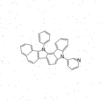 c1ccc(-n2c3c4ccccc4ccc3c3ccc4c(c5ccccc5n4-c4cccnc4)c32)cc1